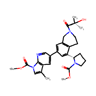 Cc1cn(C(=O)OC(C)(C)C)c2ncc(-c3cc4c(c([C@@H]5CCCN5C(=O)OC(C)(C)C)c3)CCN(C(=O)[C@@](C)(O)C(F)(F)F)C4)cc12